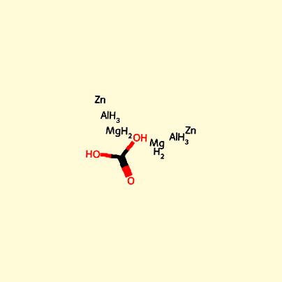 O=C(O)O.[AlH3].[AlH3].[MgH2].[MgH2].[Zn].[Zn]